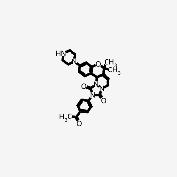 CC(=O)c1ccc(-n2c(=O)n3n(c2=O)C2C(=CC3)C(C)(C)Oc3cc(N4CCNCC4)ccc32)cc1